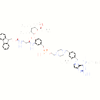 CCCCCNc1nc(N)nc2ccn(Cc3ccc(CN4CCN(CCOP(=O)(O)OCc5ccc(O[C@@H]6O[C@H](C(=O)OC)[C@@H](OC(C)=O)[C@H](OC(C)=O)[C@H]6OC(C)=O)c(NC(=O)CCNC(=O)OCC6c7ccccc7-c7ccccc76)c5)CC4)cc3OC)c12